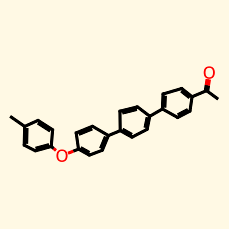 CC(=O)c1ccc(-c2ccc(-c3ccc(Oc4ccc(C)cc4)cc3)cc2)cc1